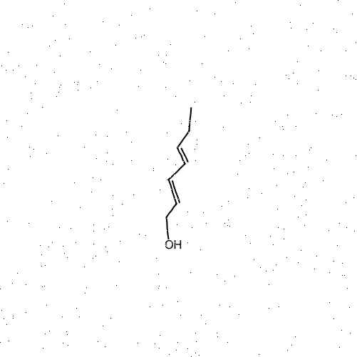 CCC=CC=CCO